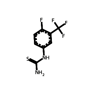 NC(=S)Nc1ccc(F)c(C(F)(F)F)c1